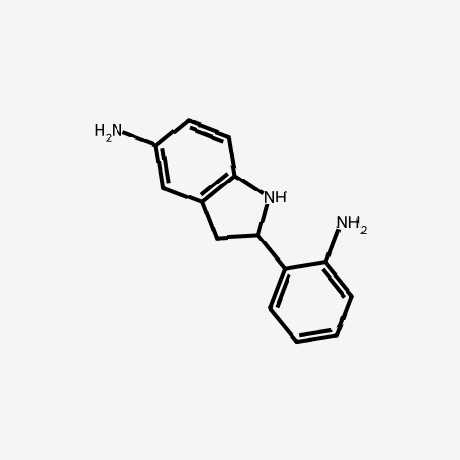 Nc1ccc2c(c1)CC(c1ccccc1N)N2